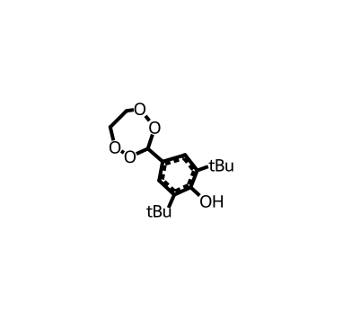 CC(C)(C)c1cc(C2OOCCOO2)cc(C(C)(C)C)c1O